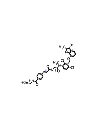 C#CCNC(=O)c1ccc(/C=C/C(=O)NCC(=O)N(C)c2ccc(Cl)c(COc3cccn4c(Br)c(C)nc34)c2Cl)cc1